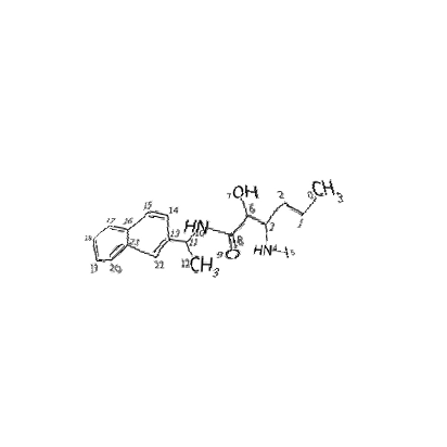 CCCC(NI)C(O)C(=O)NC(C)c1ccc2ccccc2c1